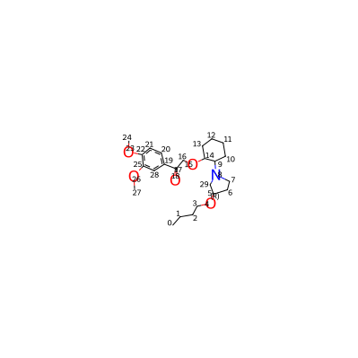 CCCCO[C@@H]1CCN(C2CCCCC2OCC(=O)c2ccc(OC)c(OC)c2)C1